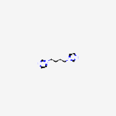 Cl.Cl.c1cn(CCCCn2ccnc2)cn1